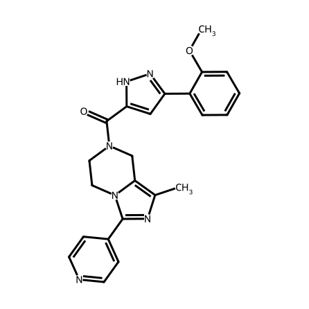 COc1ccccc1-c1cc(C(=O)N2CCn3c(-c4ccncc4)nc(C)c3C2)[nH]n1